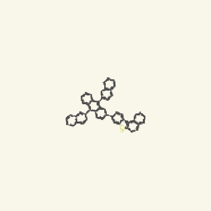 c1ccc2cc(-c3c4ccccc4c(-c4ccc5ccccc5c4)c4cc(-c5ccc6c(c5)sc5ccc7ccccc7c56)ccc34)ccc2c1